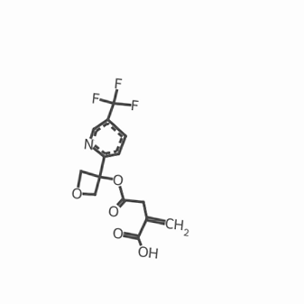 C=C(CC(=O)OC1(c2ccc(C(F)(F)F)cn2)COC1)C(=O)O